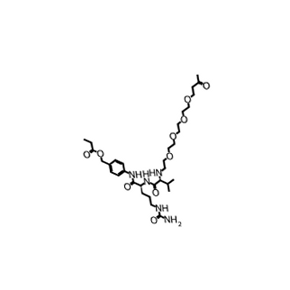 CCC(=O)OCc1ccc(NC(=O)[C@H](CCCNC(N)=O)NC(=O)[C@@H](NCCOCCOCCOCCOCCC(C)=O)C(C)C)cc1